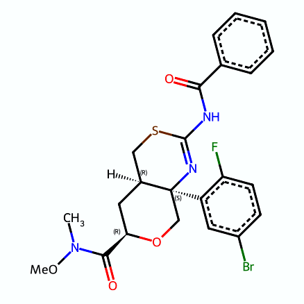 CON(C)C(=O)[C@H]1C[C@H]2CSC(NC(=O)c3ccccc3)=N[C@@]2(c2cc(Br)ccc2F)CO1